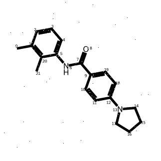 Cc1cccc(NC(=O)c2ccc(N3CCCC3)cc2)c1C